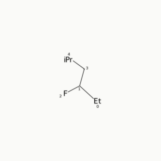 CCC(F)CC(C)C